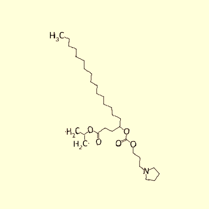 [CH2]C([CH2])OC(=O)CCC(CCCCCCCCCCCCCCCC)OC(=O)OCCCN1CCCC1